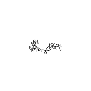 CC(C)(C)OC(=O)N1CCN(C(=O)COC2CN(c3nc(S(C)(=O)=O)nc(C(F)(F)F)c3Cl)C2)CC1